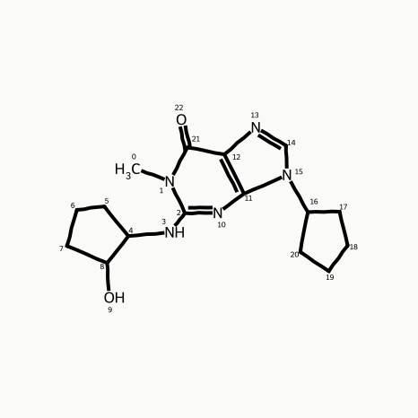 Cn1c(NC2CCCC2O)nc2c(ncn2C2CCCC2)c1=O